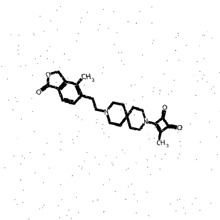 Cc1c(CCN2CCC3(CC2)CCN(c2c(C)c(=O)c2=O)CC3)ccc2c1COC2=O